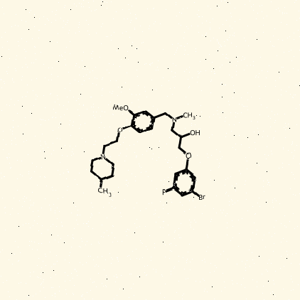 COc1cc(CN(C)CC(O)COc2cc(F)cc(Br)c2)ccc1OCCN1CCC(C)CC1